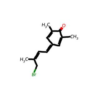 CC(=CC=C1C=C(C)C(=O)C(C)=C1)CBr